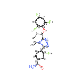 CCC(Oc1c(F)cc(F)cc1F)c1nnc(-c2ccc(C(N)=O)cc2F)n1CC